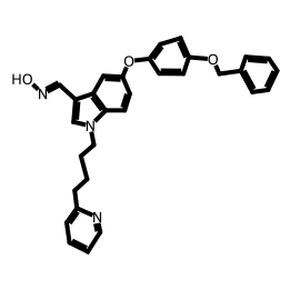 ON=Cc1cn(CCCCc2ccccn2)c2ccc(Oc3ccc(OCc4ccccc4)cc3)cc12